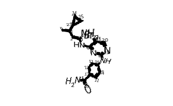 C=C(/C=C(\N)Nc1nc(Nc2ccc(C(N)=O)cc2)ncc1Br)C1CC1